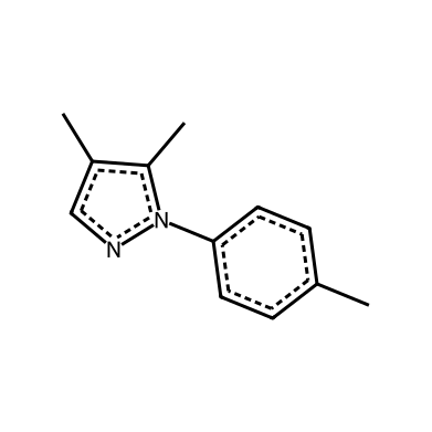 Cc1ccc(-n2ncc(C)c2C)cc1